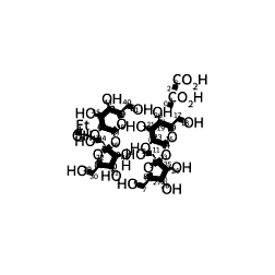 CC(=O)O.CC(=O)O.CCO.OC[C@H]1O[C@@](CO)(O[C@H]2O[C@H](CO)[C@@H](O)[C@H](O)[C@H]2O)[C@@H](O)[C@@H]1O.OC[C@H]1O[C@@](CO)(O[C@H]2O[C@H](CO)[C@@H](O)[C@H](O)[C@H]2O)[C@@H](O)[C@@H]1O